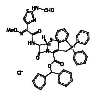 CON=C(C(=O)NC1C(=O)N2C(C(=O)OC(c3ccccc3)c3ccccc3)=C(C[P+](c3ccccc3)(c3ccccc3)c3ccccc3)CS[C@@H]12)c1csc(NC=O)n1.[Cl-]